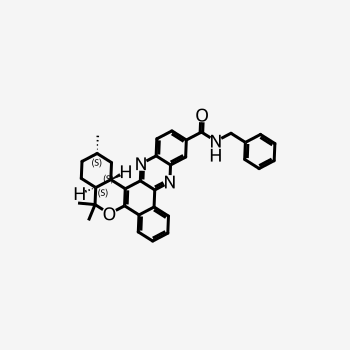 C[C@H]1CC[C@H]2[C@H](C1)c1c(c3ccccc3c3nc4cc(C(=O)NCc5ccccc5)ccc4nc13)OC2(C)C